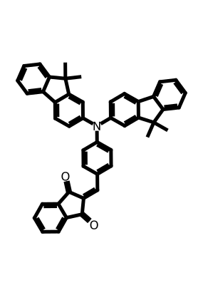 CC1(C)c2ccccc2-c2ccc(N(c3ccc(C=C4C(=O)c5ccccc5C4=O)cc3)c3ccc4c(c3)C(C)(C)c3ccccc3-4)cc21